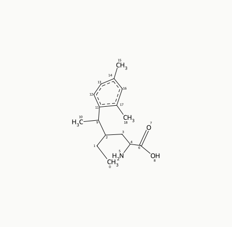 CCC(CC(N)C(=O)O)C(C)c1ccc(C)cc1C